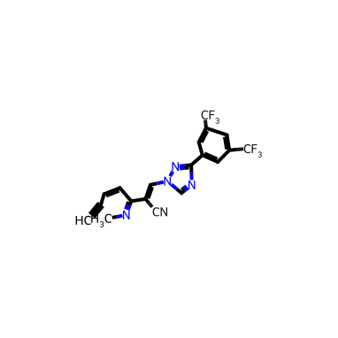 C#C\C=C/C(=N\C)C(/C#N)=C/n1cnc(-c2cc(C(F)(F)F)cc(C(F)(F)F)c2)n1